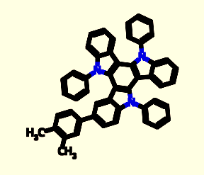 Cc1ccc(-c2ccc3c(c2)c2c4c(c5ccccc5n4-c4ccccc4)c4c(c5ccccc5n4-c4ccccc4)c2n3-c2ccccc2)cc1C